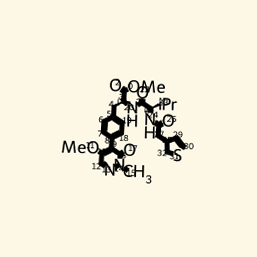 COC(=O)[C@H](Cc1ccc(-c2c(OC)cnn(C)c2=O)cc1)NC(=O)[C@H](NC(=O)CC1C=CSC1)C(C)C